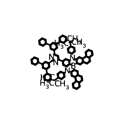 CC(C)(C)c1ccc(N2c3cc4c(ccc5ccccc54)cc3B3c4cc5ccc6ccccc6c5cc4N(c4ccc(C(C)(C)C)cc4)c4cc(-c5cc(-c6cc(-c7ccccc7)cc(-c7ccccc7)c6)nc(-c6cc(-c7ccccc7)cc(-c7ccccc7)c6)n5)cc2c43)cc1